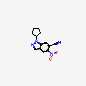 N#Cc1cc2c(cnn2C2CCCC2)cc1[N+](=O)[O-]